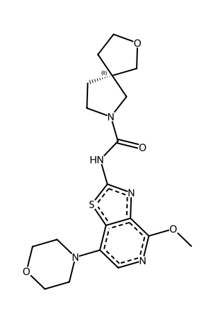 COc1ncc(N2CCOCC2)c2sc(NC(=O)N3CC[C@@]4(CCOC4)C3)nc12